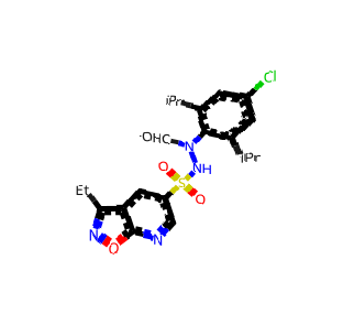 CCc1noc2ncc(S(=O)(=O)NN([C]=O)c3c(C(C)C)cc(Cl)cc3C(C)C)cc12